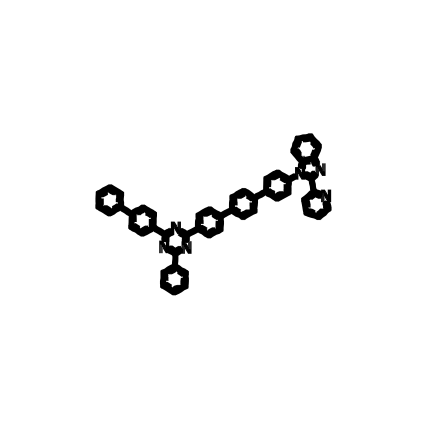 c1ccc(-c2ccc(-c3nc(-c4ccccc4)nc(-c4ccc(-c5ccc(-c6ccc(-n7c(-c8ccccn8)nc8ccccc87)cc6)cc5)cc4)n3)cc2)cc1